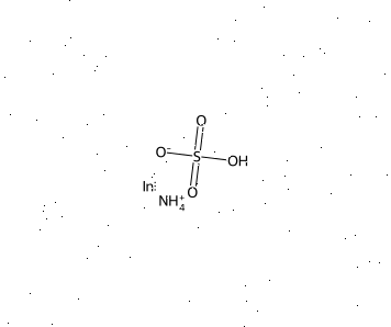 O=S(=O)([O-])O.[In].[NH4+]